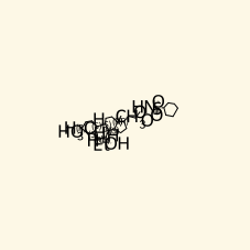 CC[C@H]1[C@@H](O)[C@@H]2[C@H](CC[C@]3(C)[C@@H](CCOC(=O)NS(=O)(=O)C4CCCCC4)CC[C@@H]23)[C@@]2(C)CC[C@@H](O)C[C@@H]12